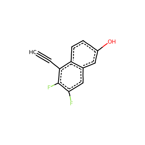 C#Cc1c(F)c(F)cc2cc(O)ccc12